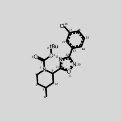 CC1CCN(C(=O)OC(C)(C)C)C(c2nc(-c3cccc(Cl)c3)no2)C1